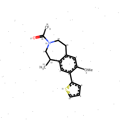 COc1cc2c(cc1-c1cccs1)C(C)CN(C(=O)C(F)(F)F)CC2